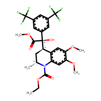 CCOC(=O)N1c2cc(OC)c(OC)cc2[C@H]([C@](O)(C(=O)OC)c2cc(C(F)(F)F)cc(C(F)(F)F)c2)C[C@H]1C